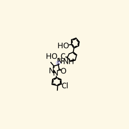 CC1=NN(c2ccc(C)c(Cl)c2)C(=O)/C1=N\NC1(C(=O)O)C=CC=C(c2ccccc2O)C1